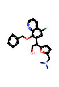 CN(C)Cc1ccc(C(CO)c2cc(Cl)c3cccnc3c2OCc2ccccc2)o1